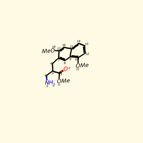 COC(=O)C(CN)Cc1cc2c(OC)cccc2cc1OC